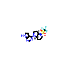 O=S(=O)(N1CCC[C@@H]2[C@H]1CCN2c1ncnc2[nH]ccc12)C(F)(F)F